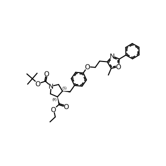 CCOC(=O)[C@H]1CN(C(=O)OC(C)(C)C)C[C@H]1Cc1ccc(OCCc2nc(-c3ccccc3)oc2C)cc1